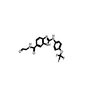 O=CCNC(=O)c1ccc2nc(Nc3ccc(OC(F)(F)F)cc3)[nH]c2c1